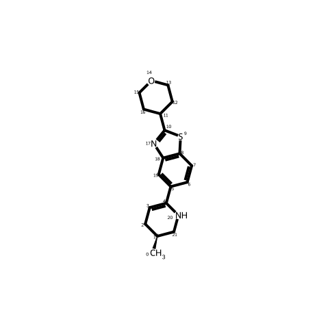 C[C@H]1CC=C(c2ccc3sc(C4CCOCC4)nc3c2)NC1